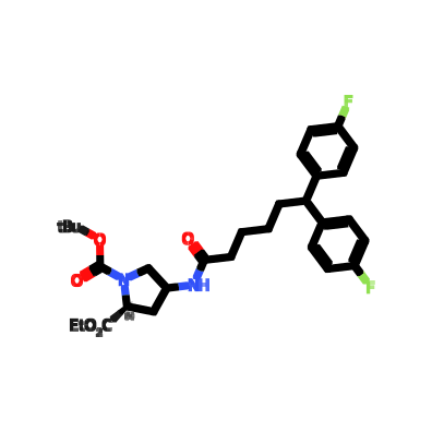 CCOC(=O)[C@@H]1CC(NC(=O)CCCCC(c2ccc(F)cc2)c2ccc(F)cc2)CN1C(=O)OC(C)(C)C